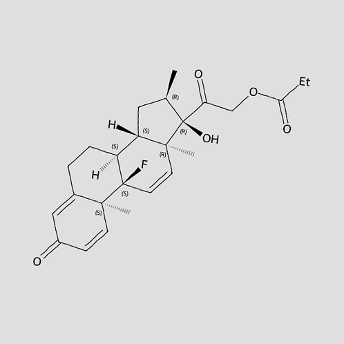 CCC(=O)OCC(=O)[C@@]1(O)[C@H](C)C[C@H]2[C@@H]3CCC4=CC(=O)C=C[C@]4(C)[C@@]3(F)C=C[C@@]21C